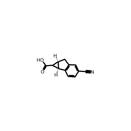 N#Cc1ccc2c(c1)C[C@@H]1C(C(=O)O)[C@H]21